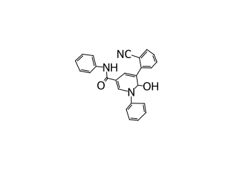 N#Cc1ccccc1C1=CC(C(=O)Nc2ccccc2)=CN(c2ccccc2)C1O